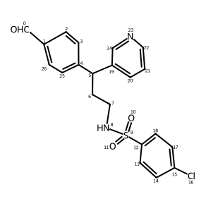 O=Cc1ccc(C(CCNS(=O)(=O)c2ccc(Cl)cc2)c2cccnc2)cc1